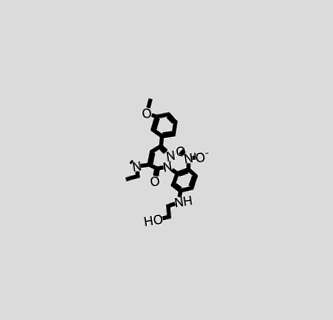 CCN(C)c1cc(-c2cccc(OC)c2)nn(-c2cc(NCCO)ccc2[N+](=O)[O-])c1=O